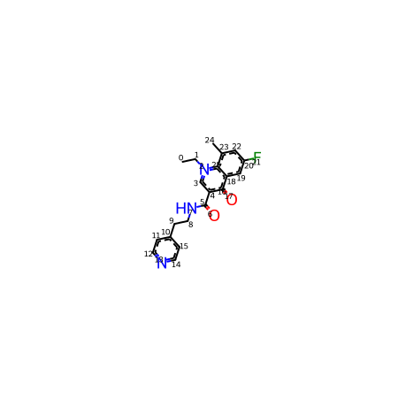 CCn1cc(C(=O)NCCc2ccncc2)c(=O)c2cc(F)cc(C)c21